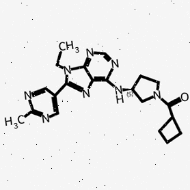 CCn1c(-c2cnc(C)nc2)nc2c(N[C@H]3CCN(C(=O)C4CCC4)C3)ncnc21